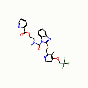 Cc1c(OCC(F)(F)F)ccnc1CSc1nc2ccccc2n1C(=O)N(C)CCOC(=O)c1ccccn1